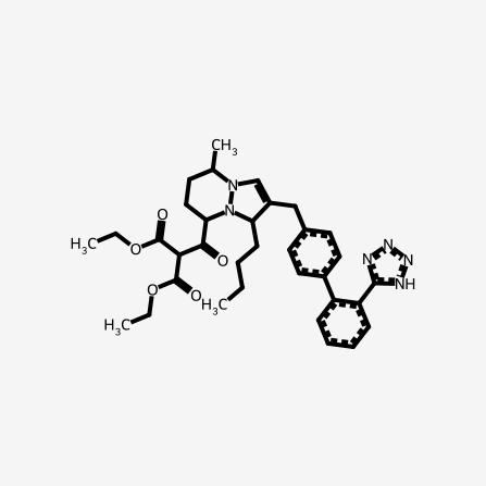 CCCCC1C(Cc2ccc(-c3ccccc3-c3nnn[nH]3)cc2)=CN2C(C)CCC(C(=O)C(C(=O)OCC)C(=O)OCC)N12